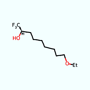 CCOCCCCCCC[C@@H](O)C(F)(F)F